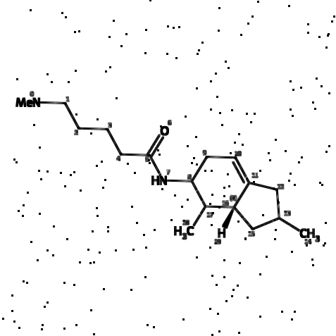 CNCCCCC(=O)NC1CC=C2CC(C)C[C@@H]2C1C